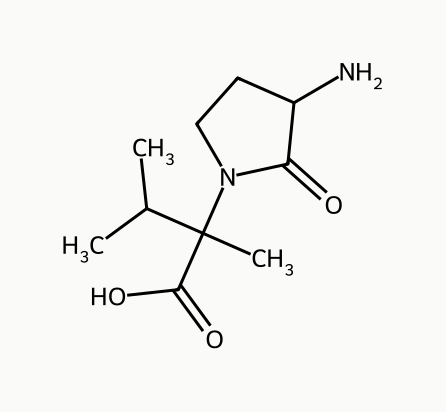 CC(C)C(C)(C(=O)O)N1CCC(N)C1=O